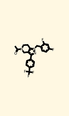 CC(=O)N1CCc2c(c(-c3ccc(C(F)(F)F)cc3)nn2Cc2ccc(F)cc2F)C1